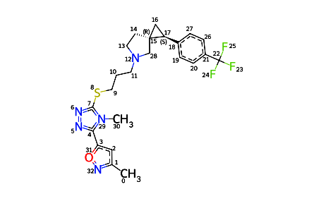 Cc1cc(-c2nnc(SCCCN3CC[C@@]4(C[C@H]4c4ccc(C(F)(F)F)cc4)C3)n2C)on1